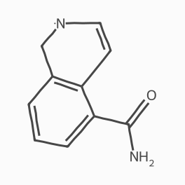 NC(=O)c1cccc2c1C=C[N]C2